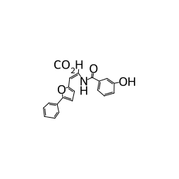 O=C(O)/C(=C/c1ccc(-c2ccccc2)o1)NC(=O)c1cccc(O)c1